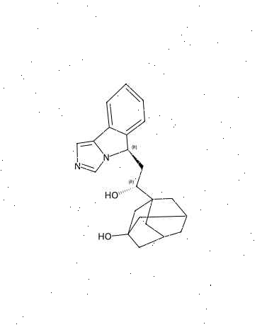 O[C@H](C[C@@H]1c2ccccc2-c2cncn21)C12CC3CC(CC(O)(C3)C1)C2